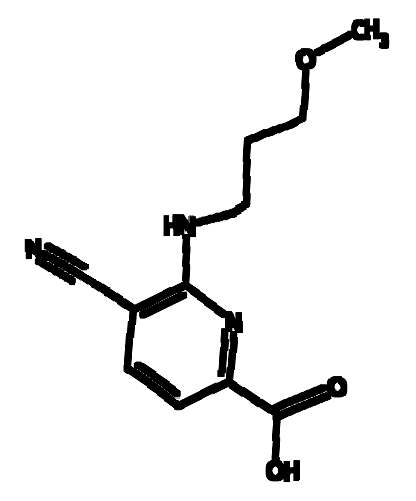 COCCCNc1nc(C(=O)O)ccc1C#N